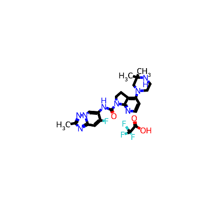 Cc1nc2cc(F)c(NC(=O)N3CCc4c(N5CCNC(C)(C)C5)ccnc43)cn2n1.O=C(O)C(F)(F)F